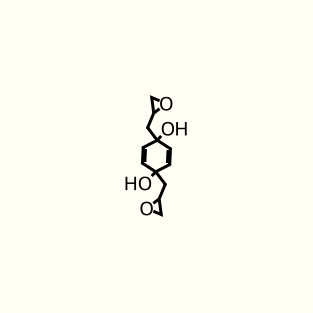 OC1(CC2CO2)C=CC(O)(CC2CO2)C=C1